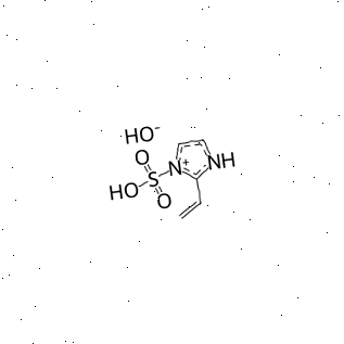 C=Cc1[nH]cc[n+]1S(=O)(=O)O.[OH-]